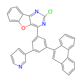 Clc1nc(-c2cc(-c3cccnc3)cc(-c3cc4ccccc4c4ccccc34)c2)c2oc3ccccc3c2n1